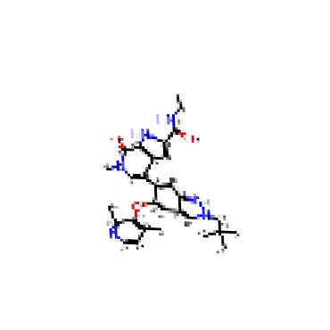 CCNC(=O)c1cc2c(-c3cc4nn(CC(C)(C)C)cc4cc3Oc3c(C)ccnc3C)cn(C)c(=O)c2[nH]1